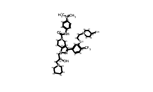 CN(C)c1ccc(NC(=O)N2CCc3c(c(-c4ccc(C(F)(F)F)c(SCCN5CCC(F)CC5)c4)nn3C[C@@H](O)CN3CCCCC3)C2)cc1